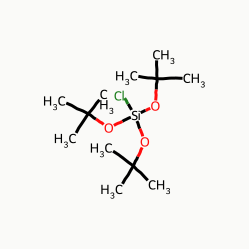 CC(C)(C)O[Si](Cl)(OC(C)(C)C)OC(C)(C)C